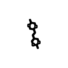 CC1COC(CCC2COC(C)OC2)CO1